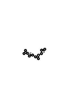 C1=CC(c2cccc(-c3cccc4c3sc3ccccc34)c2)Cc2c1c1cc(-c3ccc4sc5c(-c6ccc7c8ccccc8c8ccccc8c7c6)cccc5c4c3)ccc1c1ccccc21